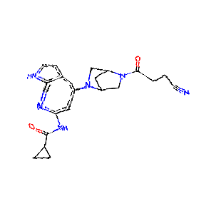 N#CCCC(=O)N1CC2CC1CN2c1cc(NC(=O)C2CC2)nc2[nH]ccc12